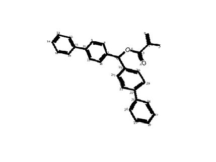 C=C(C)C(=O)OC(c1ccc(-c2ccccc2)cc1)c1ccc(-c2ccccc2)cc1